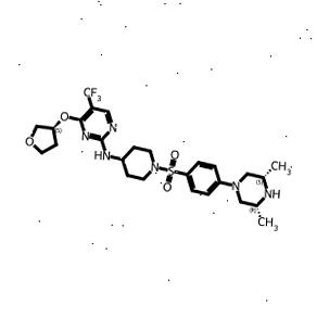 C[C@@H]1CN(c2ccc(S(=O)(=O)N3CCC(Nc4ncc(C(F)(F)F)c(O[C@H]5CCOC5)n4)CC3)cc2)C[C@H](C)N1